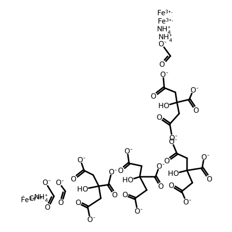 O=C([O-])CC(O)(CC(=O)[O-])C(=O)[O-].O=C([O-])CC(O)(CC(=O)[O-])C(=O)[O-].O=C([O-])CC(O)(CC(=O)[O-])C(=O)[O-].O=C([O-])CC(O)(CC(=O)[O-])C(=O)[O-].O=C[O-].O=C[O-].O=C[O-].[Cr+3].[Fe+3].[Fe+3].[Fe+3].[NH4+].[NH4+].[NH4+]